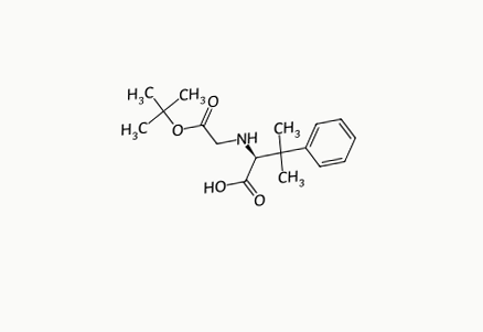 CC(C)(C)OC(=O)CN[C@H](C(=O)O)C(C)(C)c1ccccc1